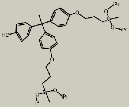 CC(C)O[Si](C)(CCCOc1ccc(C(C)(c2ccc(O)cc2)c2ccc(OCCC[Si](C)(OC(C)C)OC(C)C)cc2)cc1)OC(C)C